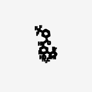 Cn1ncc(Br)c1-c1cc(NC(=O)c2cccc(C(F)(F)F)c2)cnc1O